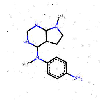 CN1CCC2C1NCNC2N(C)c1ccc(N)cc1